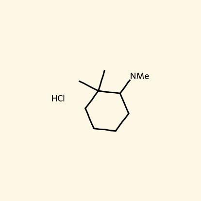 CNC1CCCCC1(C)C.Cl